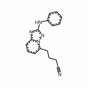 N#CCCCc1cccc2nc(Nc3ccccc3)nn12